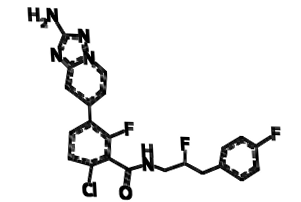 Nc1nc2cc(-c3ccc(Cl)c(C(=O)NCC(F)Cc4ccc(F)cc4)c3F)ccn2n1